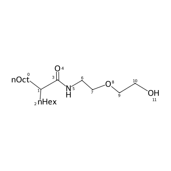 CCCCCCCCC(CCCCCC)C(=O)NCCOCCO